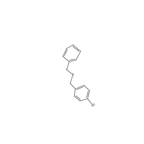 Clc1ccc(CSCc2ccccc2)cc1